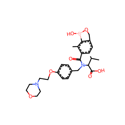 Cc1c(C(=O)N(Cc2ccc(OCCN3CCOCC3)cc2)C(C(=O)O)C(C)C)ccc2c1B(O)OC2